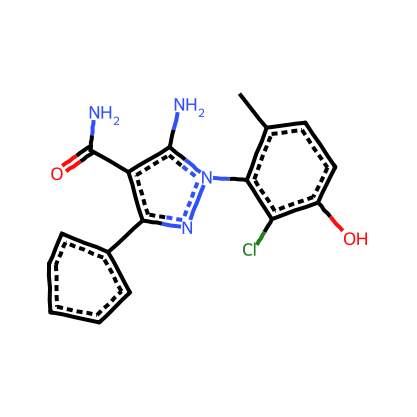 Cc1ccc(O)c(Cl)c1-n1nc(-c2ccccc2)c(C(N)=O)c1N